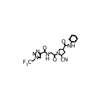 N#CC1CC(C(=O)Nc2ccccc2)CN1C(=O)CNC(=O)c1cn(CC(F)(F)F)nn1